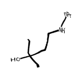 CCCNCCC(C)(C)O